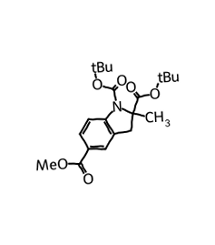 COC(=O)c1ccc2c(c1)CC(C)(C(=O)OC(C)(C)C)N2C(=O)OC(C)(C)C